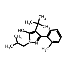 Cc1ccccc1-c1nn(CC(C)C)c(O)c1C(C)(C)C